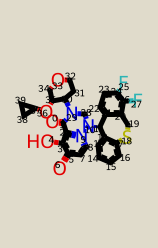 O=C1c2c(O)c(=O)ccn2N([C@@H]2c3ccccc3SCc3c2ccc(F)c3F)CN1C1CCOCC1OC1CC1